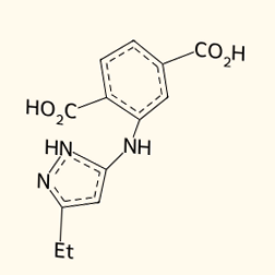 CCc1cc(Nc2cc(C(=O)O)ccc2C(=O)O)[nH]n1